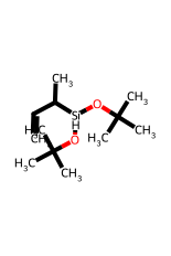 C=CC(C)[SiH](OC(C)(C)C)OC(C)(C)C